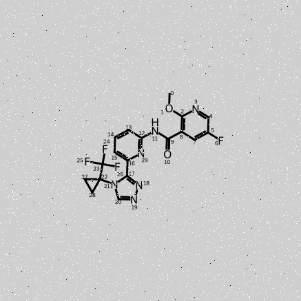 COc1ncc(F)cc1C(=O)Nc1cccc(-c2nncn2C2(C(F)(F)F)CC2)n1